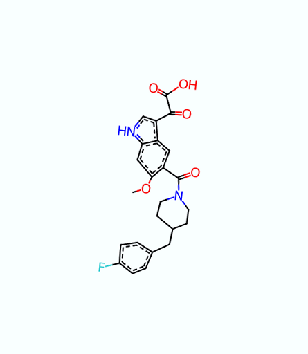 COc1cc2[nH]cc(C(=O)C(=O)O)c2cc1C(=O)N1CCC(Cc2ccc(F)cc2)CC1